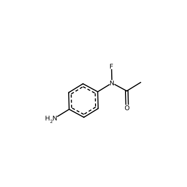 CC(=O)N(F)c1ccc(N)cc1